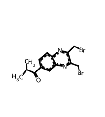 CC(C)C(=O)c1ccc2nc(CBr)c(CBr)nc2c1